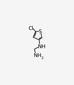 NCNc1csc(Cl)c1